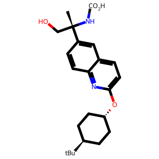 CC(C)(C)[C@H]1CC[C@H](Oc2ccc3cc([C@](C)(CO)NC(=O)O)ccc3n2)CC1